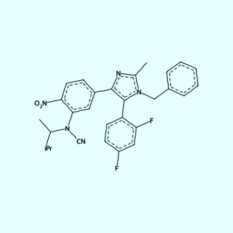 Cc1nc(-c2ccc([N+](=O)[O-])c(N(C#N)C(C)C(C)C)c2)c(-c2ccc(F)cc2F)n1Cc1ccccc1